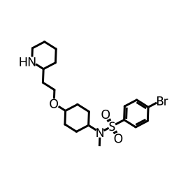 CN(C1CCC(OCCC2CCCCN2)CC1)S(=O)(=O)c1ccc(Br)cc1